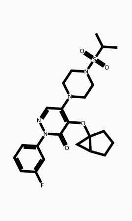 CC(C)S(=O)(=O)N1CCN(c2cnn(-c3cccc(F)c3)c(=O)c2OC23CCCC2C3)CC1